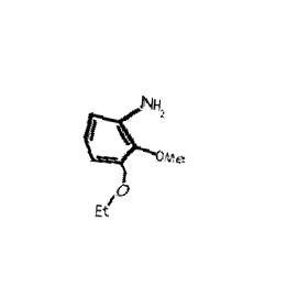 CCOc1cccc(N)c1OC